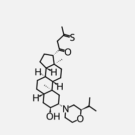 CC(=S)CC(=O)[C@H]1CC[C@H]2[C@@H]3CC[C@H]4C[C@H](O)[C@@H](N5CCO[C@H](C(C)C)C5)C[C@]4(C)[C@H]3CC[C@]12C